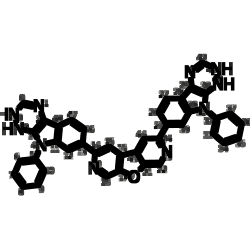 C1=Nc2c(n(-c3ccccc3)c3cc(-c4cc5c(cn4)oc4cnc(-c6ccc7c8c(n(-c9ccccc9)c7c6)NNC=N8)cc45)ccc23)NN1